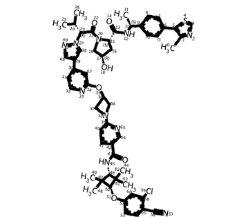 Cc1ncsc1-c1ccc([C@H](C)NC(=O)[C@@H]2C[C@@H](O)CN2C(=O)[C@@H](C(C)C)n2cc(-c3ccnc(OC4CN(c5ccc(C(=O)N[C@H]6C(C)(C)[C@H](Oc7ccc(C#N)c(Cl)c7)C6(C)C)cn5)C4)c3)cn2)cc1